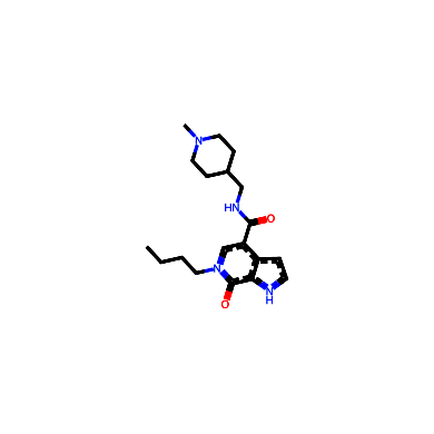 CCCCn1cc(C(=O)NCC2CCN(C)CC2)c2cc[nH]c2c1=O